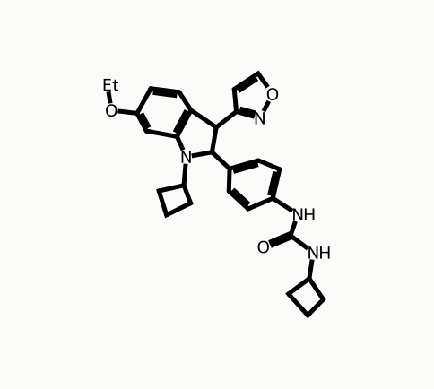 CCOc1ccc2c(c1)N(C1CCC1)C(c1ccc(NC(=O)NC3CCC3)cc1)C2c1ccon1